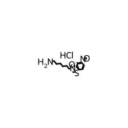 Cl.NCCCCCC[N+]1([O-])CSc2ccc(N=O)cc21